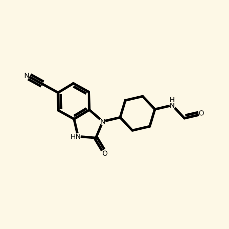 N#Cc1ccc2c(c1)[nH]c(=O)n2C1CCC(NC=O)CC1